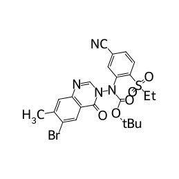 CCS(=O)(=O)c1ccc(C#N)cc1N(C(=O)OC(C)(C)C)n1cnc2cc(C)c(Br)cc2c1=O